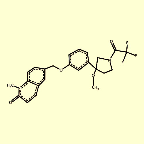 COC1(c2cccc(OCc3ccc4c(ccc(=O)n4C)c3)c2)CCN(C(=O)C(F)(F)F)C1